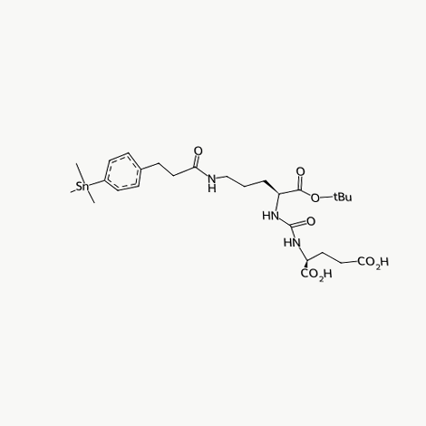 CC(C)(C)OC(=O)[C@H](CCCNC(=O)CCc1cc[c]([Sn]([CH3])([CH3])[CH3])cc1)NC(=O)N[C@@H](CCC(=O)O)C(=O)O